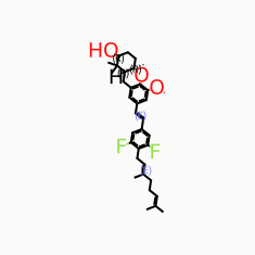 COc1cc(/C=C/c2cc(F)c(C/C=C(\C)CCC=C(C)C)c(F)c2)cc2c1O[C@]1(C)CC[C@@H](O)C(C)(C)[C@H]1C2